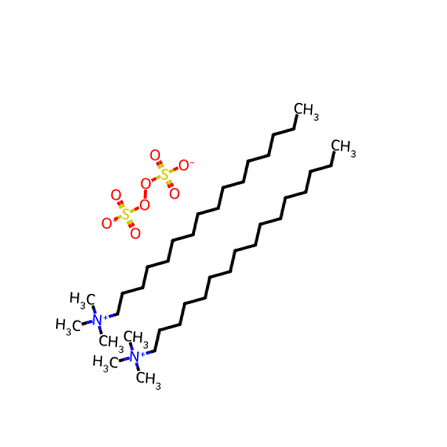 CCCCCCCCCCCCCCCC[N+](C)(C)C.CCCCCCCCCCCCCCCC[N+](C)(C)C.O=S(=O)([O-])OOS(=O)(=O)[O-]